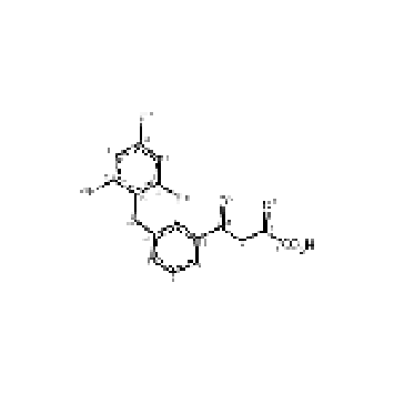 O=C(O)C(=O)CC(=O)c1cccc(Cc2c(F)cc(F)cc2F)c1